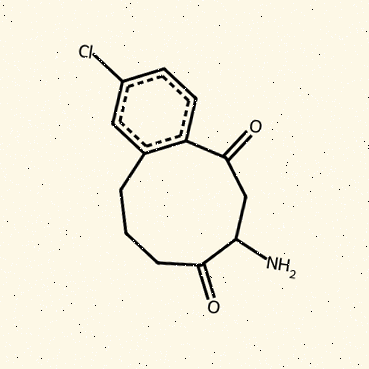 NC1CC(=O)c2ccc(Cl)cc2CCCC1=O